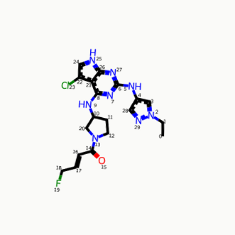 CCn1cc(Nc2nc(NC3CCN(C(=O)/C=C/CF)C3)c3c(Cl)c[nH]c3n2)cn1